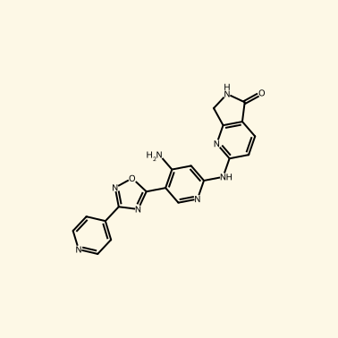 Nc1cc(Nc2ccc3c(n2)CNC3=O)ncc1-c1nc(-c2ccncc2)no1